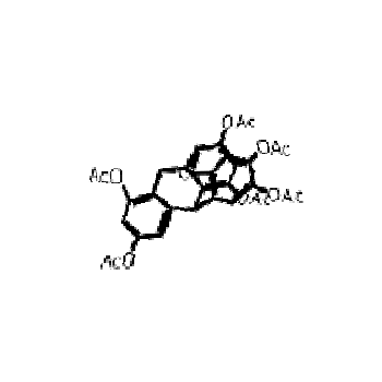 CC(=O)Oc1cc(OC(C)=O)c2c(c1)C1Cc3cc(OC(C)=O)c(OC(C)=O)cc3C2c2cc(OC(C)=O)cc(OC(C)=O)c21